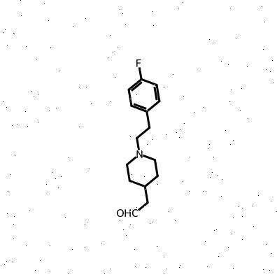 O=CCC1CCN(CCc2ccc(F)cc2)CC1